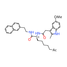 COc1ccc2[nH]c(C)c(CC(=O)N[C@@H](CCCCCC(C)=O)C(=O)NCCc3ccc4ccccc4c3)c2c1